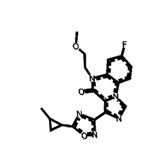 COCCn1c(=O)c2c(-c3noc(C4CC4C)n3)ncn2c2ccc(F)cc21